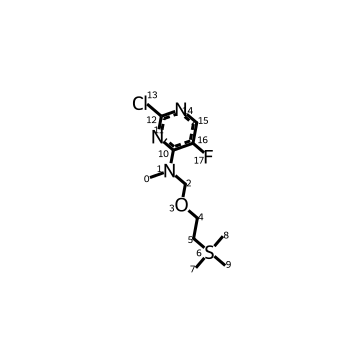 CN(COCCS(C)(C)C)c1nc(Cl)ncc1F